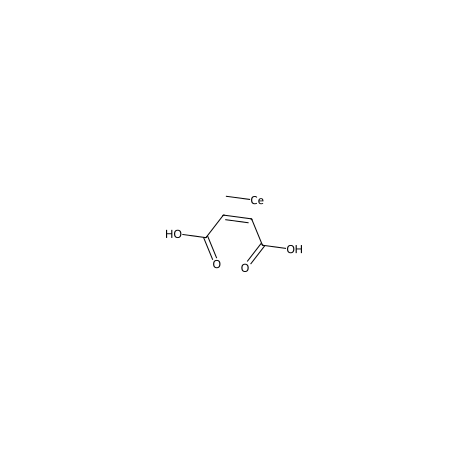 O=C(O)/C=C\C(=O)O.[CH3][Ce]